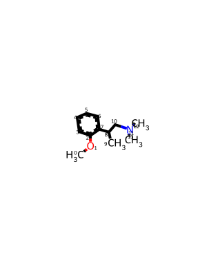 COc1ccccc1C(C)CN(C)C